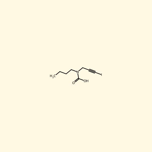 CCCCN(CC#CI)C(=O)O